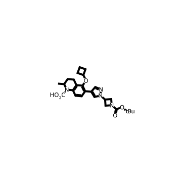 CC1CCc2c(ccc(-c3cnn(C4CN(C(=O)OC(C)(C)C)C4)c3)c2OC2CCC2)N1C(=O)O